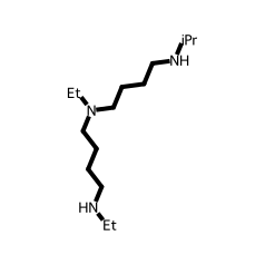 CCNCCCCN(CC)CCCCNC(C)C